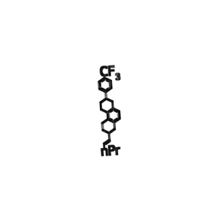 CCCC=CC1CCc2c(ccc3c2CCC(c2ccc(C(F)(F)F)cc2)C3)C1